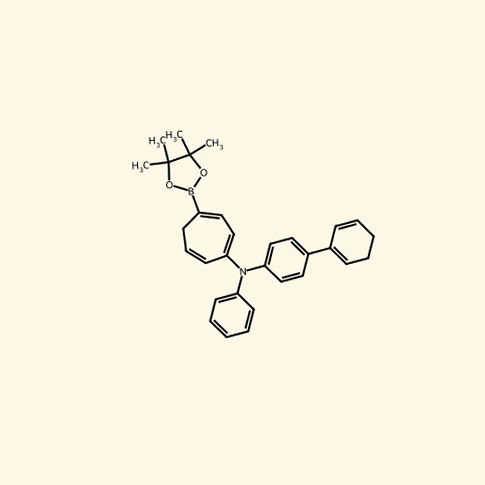 CC1(C)OB(C2=CC=C(N(c3ccccc3)c3ccc(C4=CCCC=C4)cc3)C=CC2)OC1(C)C